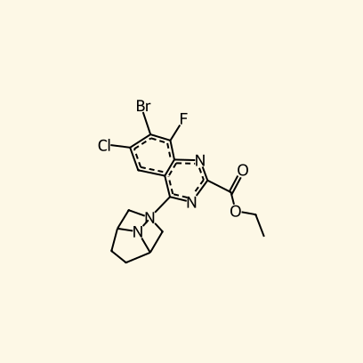 CCOC(=O)c1nc(N2CC3CCC(C2)N3C)c2cc(Cl)c(Br)c(F)c2n1